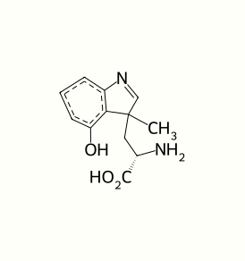 CC1(C[C@H](N)C(=O)O)C=Nc2cccc(O)c21